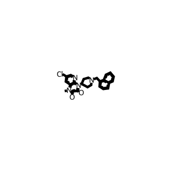 Cn1c(=O)c(=O)n(C2CCN(Cc3cccc4ccccc34)CC2)c2ncc(Cl)cc21